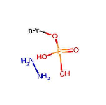 CCCOP(=O)(O)O.NN